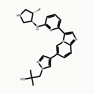 CC(C)(O)Cn1cc(-c2ccc3ncc(-c4cccc(N[C@H]5CNC[C@@H]5F)n4)n3c2)cn1